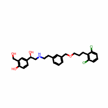 OCc1cc([C@@H](O)CNCCc2cccc(COCCCc3c(Cl)cccc3Cl)c2)ccc1O